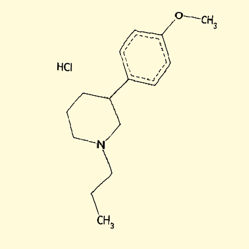 CCCN1CCCC(c2ccc(OC)cc2)C1.Cl